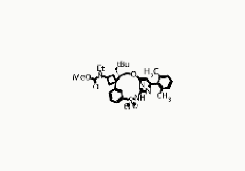 CCN(C(=O)OC)C1CC2(C1)c1cccc(c1)S(=O)(=O)Nc1nc(cc(-c3c(C)cccc3C)n1)OC[C@H]2CC(C)(C)C